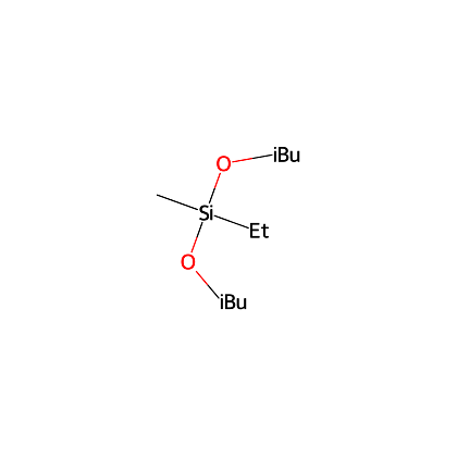 CCC(C)O[Si](C)(CC)OC(C)CC